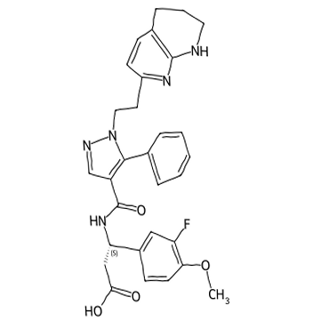 COc1ccc([C@H](CC(=O)O)NC(=O)c2cnn(CCc3ccc4c(n3)NCCC4)c2-c2ccccc2)cc1F